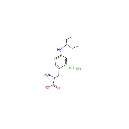 CCC(CC)Nc1ccc(CC(N)C(=O)O)cc1.Cl.Cl